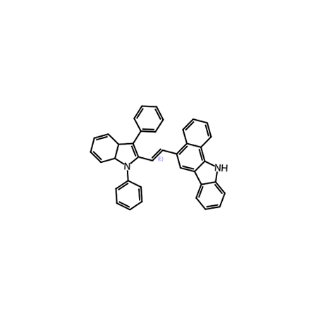 C1=CC2C(c3ccccc3)=C(/C=C/c3cc4c5ccccc5[nH]c4c4ccccc34)N(c3ccccc3)C2C=C1